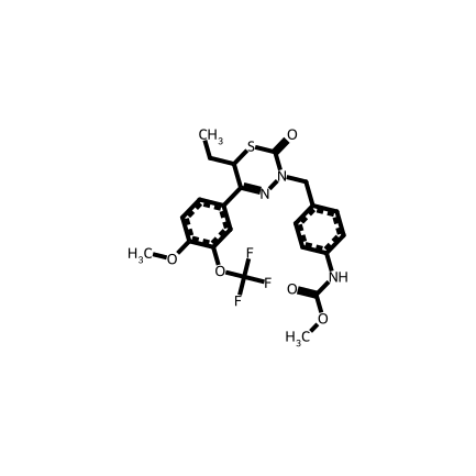 CCC1SC(=O)N(Cc2ccc(NC(=O)OC)cc2)N=C1c1ccc(OC)c(OC(F)(F)F)c1